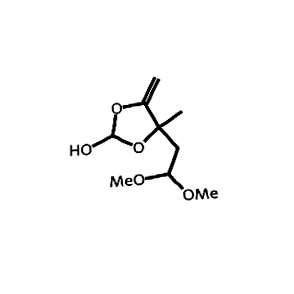 C=C1OC(O)OC1(C)CC(OC)OC